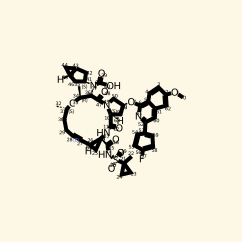 COc1ccc2c(O[C@@H]3C[C@H]4C(=O)N[C@]5(C(=O)NS(=O)(=O)C6(C)CC6)C[C@H]5/C=C\CC[C@H](C)C[C@@H](C)[C@H](N(C(=O)O)[C@H]5CC6C[C@H]6C5)C(=O)N4C3)nc(-c3ccc(F)cc3)cc2c1